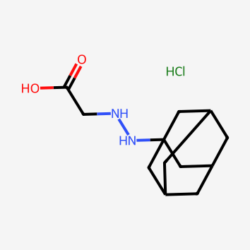 Cl.O=C(O)CNNC12CC3CC(CC(C3)C1)C2